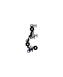 O=C1N=C(N2CCCCC2)S/C1=C\c1ccc(OCCNC[C@H](O)COc2ccc(O)cc2)cc1